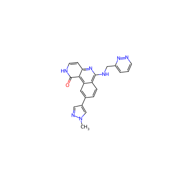 Cn1cc(-c2ccc3c(NCc4cccnn4)nc4cc[nH]c(=O)c4c3c2)cn1